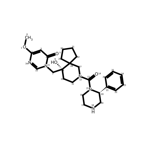 COc1cc(=O)n(C[C@]2(O)CCN(C(=O)N3CCNC[C@H]3c3ccccc3)CC23CCCC3)cn1